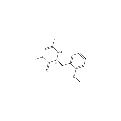 COC(=O)[C@H](Cc1ccccc1OC)NC(C)=O